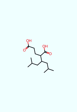 CC(C)CC(CC(C)C)C(CCC(=O)O)C(=O)O